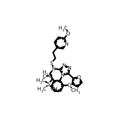 COc1ccc(CCSN(CCS(C)(C)C)c2nnc(-c3ccco3)n2-c2c(OC)cccc2OC)cn1